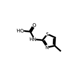 Cc1csc(NC(=O)O)n1